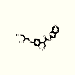 NCC(C(=O)Nc1cc2ccncc2s1)c1ccc(OCC(O)CO)cc1